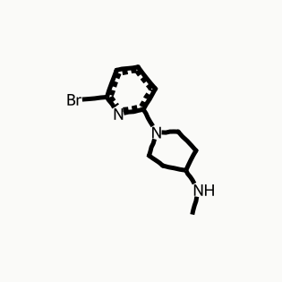 CNC1CCN(c2cccc(Br)n2)CC1